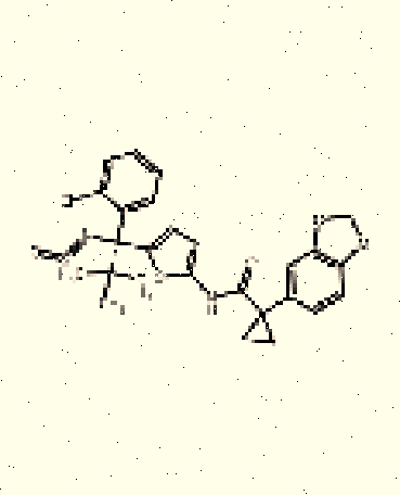 CC(C)(C)[C@@](N=S=O)(c1cnc(NC(=O)C2(c3ccc4c(c3)OCO4)CC2)s1)c1ccccc1Cl